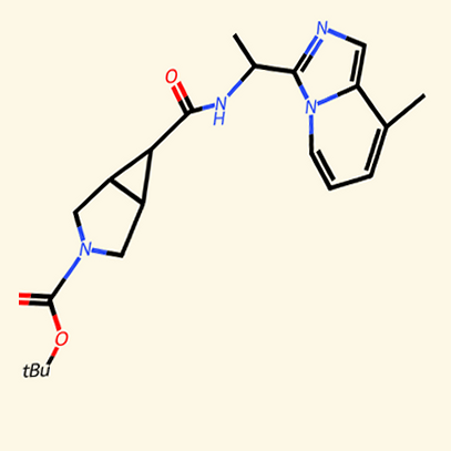 Cc1cccn2c(C(C)NC(=O)C3C4CN(C(=O)OC(C)(C)C)CC43)ncc12